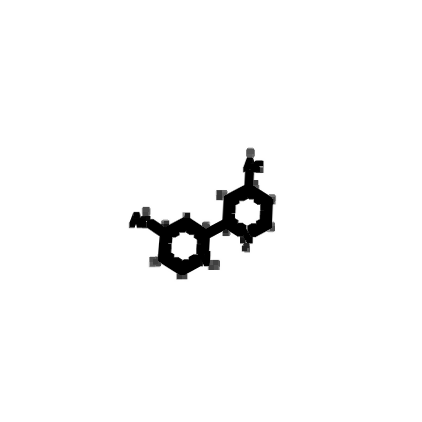 CC(=O)c1ccnc(-c2cc(C(C)=O)ccn2)c1